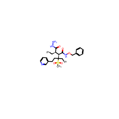 CC(C)C[C@@H](C(=O)NN)[C@@H](C(=O)NOCc1ccccc1)C(CCc1cccnc1)(CC(C)C)S(C)(=O)=O